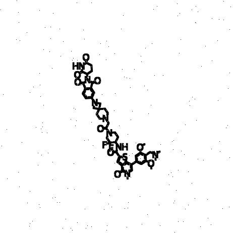 COc1cc(-c2cn(C)c(=O)c3cc(C(=O)NC4CCN(C(=O)CN5CCC6(CC5)CN(c5ccc7c(c5)C(=O)N(C5CCC(=O)NC5=O)C7=O)C6)CC4(F)F)sc23)cc(OC)c1CN(C)C